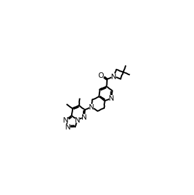 Cc1c(N2CCc3ncc(C(=O)N4CC(C)(C)C4)cc3C2)nn2cnnc2c1C